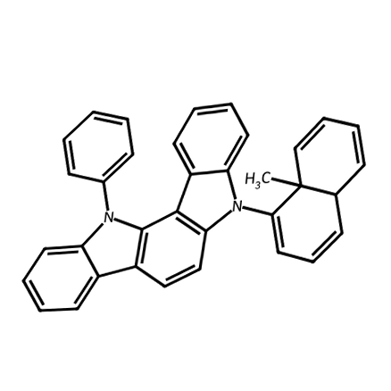 CC12C=CC=CC1C=CC=C2n1c2ccccc2c2c1ccc1c3ccccc3n(-c3ccccc3)c12